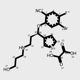 N#Cc1cc(F)c(Br)cc1O[C@H](CCNCCCO)c1ccsc1.O=C(O)C(=O)O